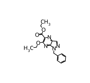 CCOC(=O)c1nc2cnn(Cc3ccccc3)c2nc1OCC